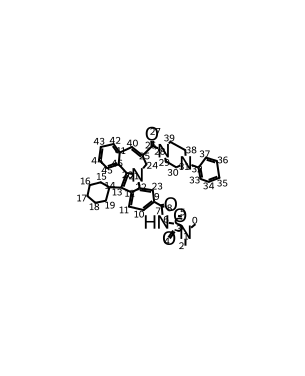 CN(C)S(=O)(=O)NC(=O)c1ccc2c(C3CCCCC3)c3n(c2c1)CC(C(=O)N1CCN(c2ccccc2)CC1)=Cc1ccccc1-3